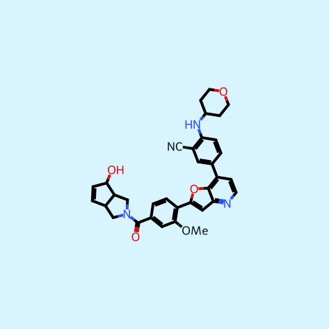 COc1cc(C(=O)N2CC3C=CC(O)C3C2)ccc1-c1cc2nccc(-c3ccc(NC4CCOCC4)c(C#N)c3)c2o1